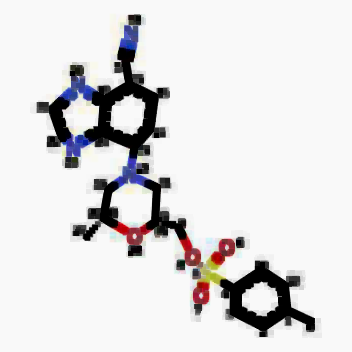 Cc1ccc(S(=O)(=O)OC[C@H]2CN(c3ccc(C#N)c4nccnc34)C[C@@H](C)O2)cc1